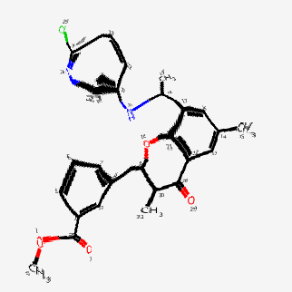 COC(=O)c1cccc(C2Oc3c(cc(C)cc3C(C)Nc3ccc(Cl)nc3)C(=O)C2C)c1